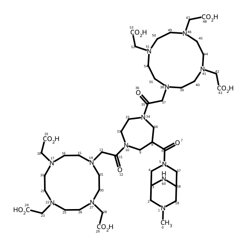 CN1CC2CN(C(=O)C3CN(C(=O)CN4CCN(CC(=O)O)CCN(CC(=O)O)CCN(CC(=O)O)CC4)CCN(C(=O)CN4CCN(CC(=O)O)CCN(CC(=O)O)CCN(CC(=O)O)CC4)C3)CC(C1)N2